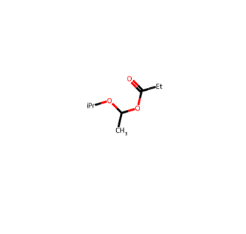 CCC(=O)OC(C)OC(C)C